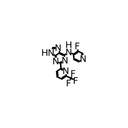 Fc1cnccc1Nc1nc(-c2cccc(C(F)(F)F)n2)nc2[nH]cnc12